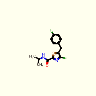 CC(C)NC(=O)c1nc(F)c(Cc2ccc(F)cc2)s1